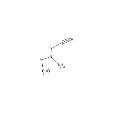 C#CCN(N)CC=O